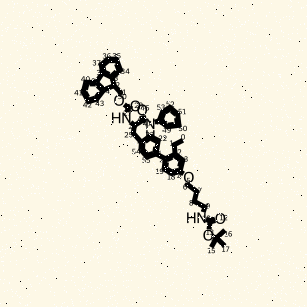 CCc1cc(OCCCCNC(=O)OC(C)(C)C)ccc1-c1ccc(CC(NC(=O)OCC2c3ccccc3-c3ccccc32)C(=O)Nc2ccccc2)cc1